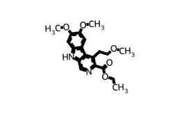 CCOC(=O)c1ncc2[nH]c3cc(OC)c(OC)cc3c2c1CCOC